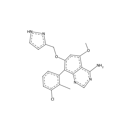 COc1cc(OCc2cc[nH]n2)c(-c2cccc(Cl)c2C)c2ncnc(N)c12